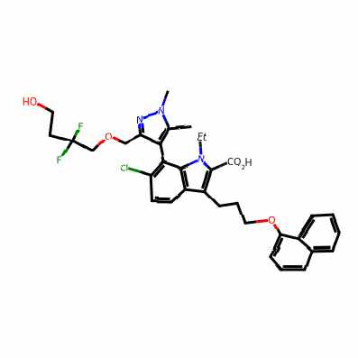 CCn1c(C(=O)O)c(CCCOc2cccc3ccccc23)c2ccc(Cl)c(-c3c(COCC(F)(F)CCO)nn(C)c3C)c21